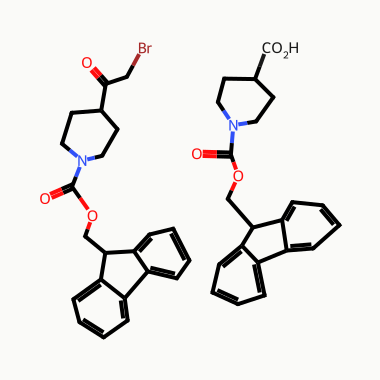 O=C(CBr)C1CCN(C(=O)OCC2c3ccccc3-c3ccccc32)CC1.O=C(O)C1CCN(C(=O)OCC2c3ccccc3-c3ccccc32)CC1